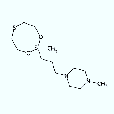 CN1CCN(CCC[Si]2(C)OCCSCCO2)CC1